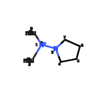 CCCC[N+](CCCC)N1CCCC1